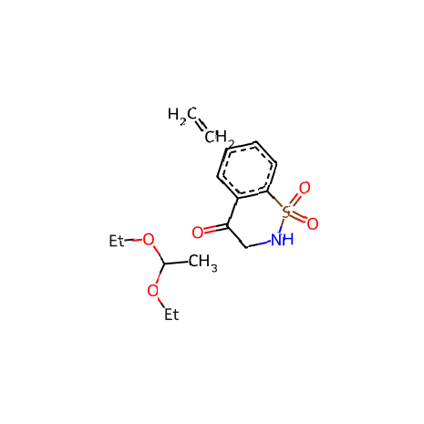 C=C.CCOC(C)OCC.O=C1CNS(=O)(=O)c2ccccc21